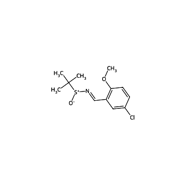 COc1ccc(Cl)cc1C=N[S+]([O-])C(C)(C)C